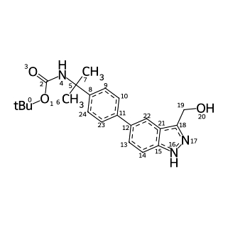 CC(C)(C)OC(=O)NC(C)(C)c1ccc(-c2ccc3[nH]nc(CO)c3c2)cc1